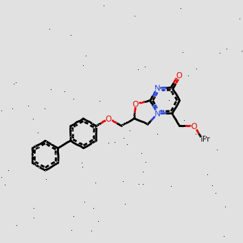 CC(C)OCc1cc(=O)nc2n1CC(COc1ccc(-c3ccccc3)cc1)O2